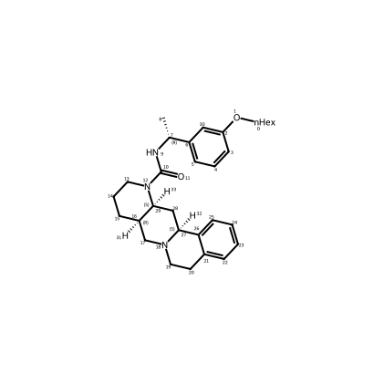 CCCCCCOc1cccc([C@@H](C)NC(=O)N2CCC[C@@H]3CN4CCc5ccccc5[C@@H]4C[C@@H]32)c1